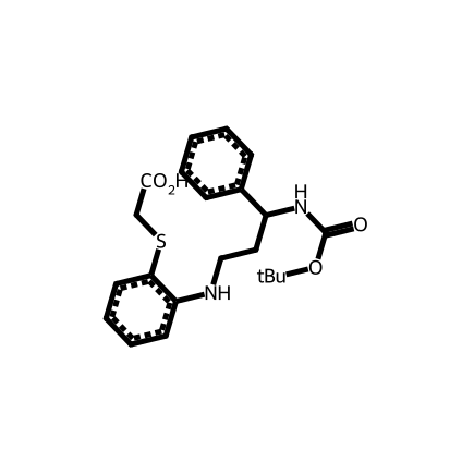 CC(C)(C)OC(=O)NC(CCNc1ccccc1SCC(=O)O)c1ccccc1